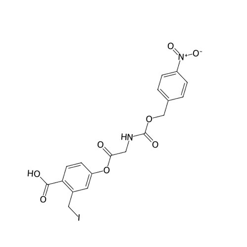 O=C(CNC(=O)OCc1ccc([N+](=O)[O-])cc1)Oc1ccc(C(=O)O)c(CI)c1